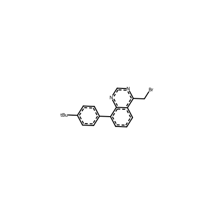 CC(C)(C)c1ccc(-c2cccc3c(CBr)ncnc23)cc1